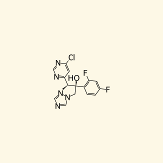 C[C@@H](c1cc(Cl)ncn1)[C@@](O)(Cn1cncn1)c1ccc(F)cc1F